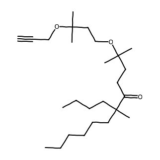 C#CCOC(C)(C)CCOC(C)(C)CCC(=O)C(C)(CCCC)CCCCCC